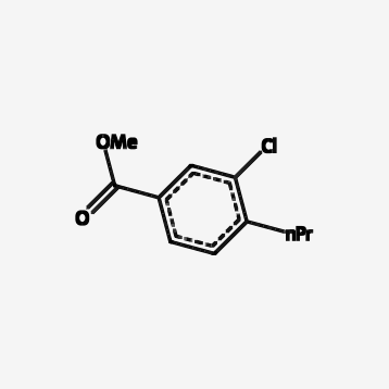 CCCc1ccc(C(=O)OC)cc1Cl